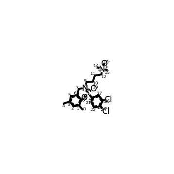 Cc1cc(C)cc(CN(CCCC[N+](C)(C)[O-])S(=O)(=O)c2ccc(Cl)c(Cl)c2)c1